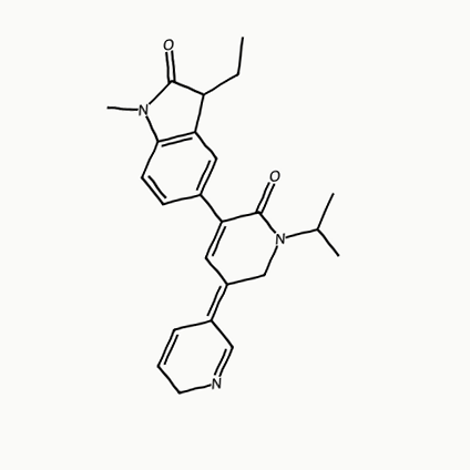 CCC1C(=O)N(C)c2ccc(C3=CC(=C4C=CCN=C4)CN(C(C)C)C3=O)cc21